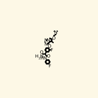 Cc1c(OCCN(C)C)cn2ncnc(Oc3ccc(C(C(N)=O)C(=O)Nc4ccc(F)cc4)cc3F)c12